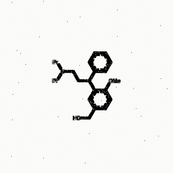 COc1ccc(CO)cc1C(CCN(C(C)C)C(C)C)c1ccccc1